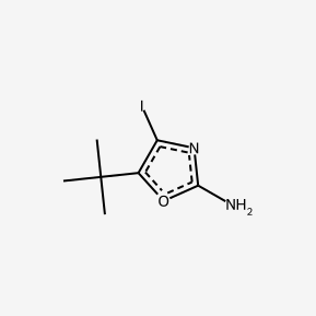 CC(C)(C)c1oc(N)nc1I